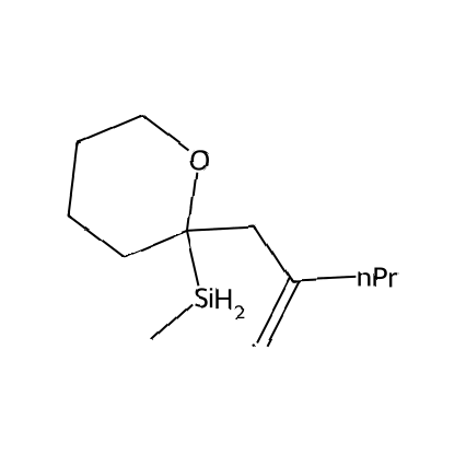 [CH]=C(CCC)CC1([SiH2]C)CCCCO1